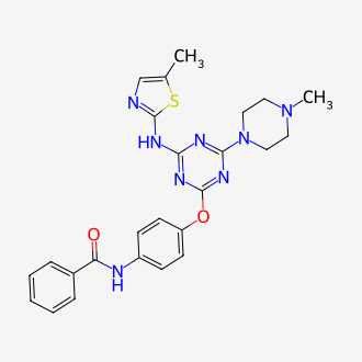 Cc1cnc(Nc2nc(Oc3ccc(NC(=O)c4ccccc4)cc3)nc(N3CCN(C)CC3)n2)s1